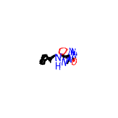 Cn1nnc2c(C(=O)NCC3CC34C3CC5CC(C3)C4C5)ncn2c1=O